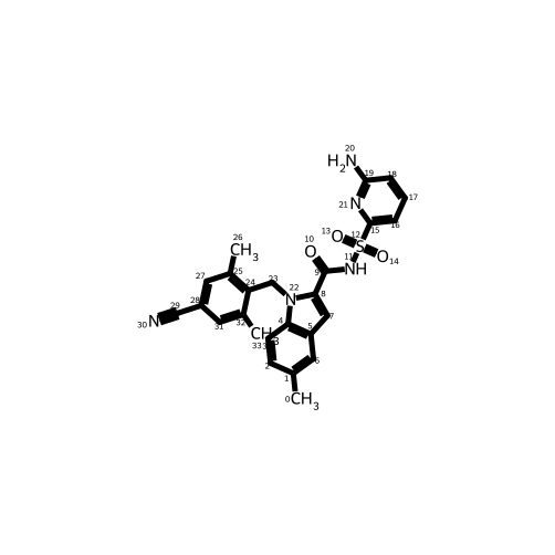 Cc1ccc2c(c1)cc(C(=O)NS(=O)(=O)c1cccc(N)n1)n2Cc1c(C)cc(C#N)cc1C